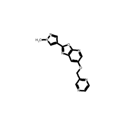 Cn1cc(-c2nc3cc(OCc4cnccn4)cnc3o2)cn1